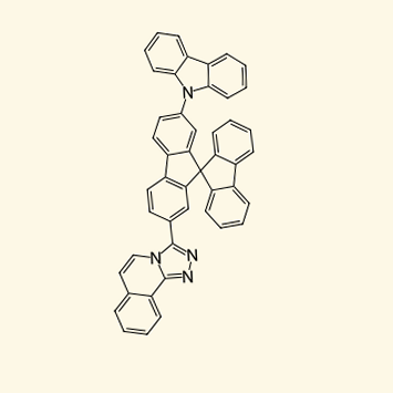 c1ccc2c(c1)-c1ccccc1C21c2cc(-c3nnc4c5ccccc5ccn34)ccc2-c2ccc(-n3c4ccccc4c4ccccc43)cc21